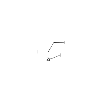 ICCI.[Zr][I]